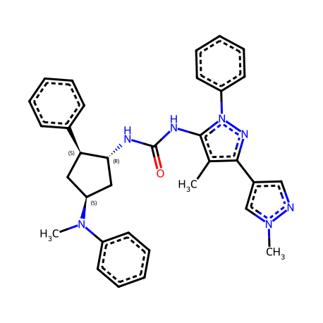 Cc1c(-c2cnn(C)c2)nn(-c2ccccc2)c1NC(=O)N[C@@H]1C[C@@H](N(C)c2ccccc2)C[C@H]1c1ccccc1